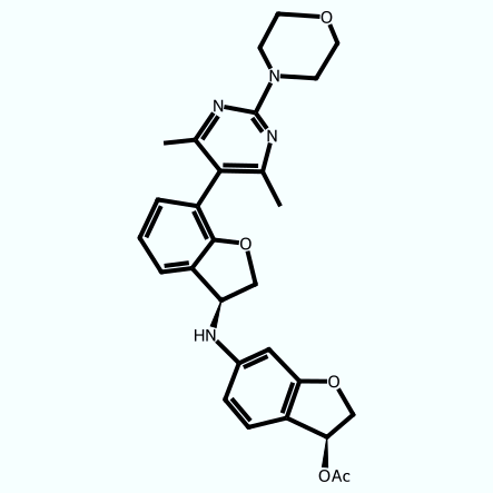 CC(=O)O[C@@H]1COc2cc(N[C@@H]3COc4c(-c5c(C)nc(N6CCOCC6)nc5C)cccc43)ccc21